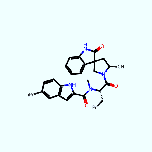 CC(C)C[C@@H](C(=O)N1C[C@]2(C[C@H]1C#N)C(=O)Nc1ccccc12)N(C)C(=O)c1cc2cc(C(C)C)ccc2[nH]1